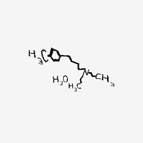 CCCN(CCC)CCCCCc1ccc(C)cc1.O